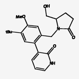 COc1cc(CN2C(=O)CCC2CO)c(-c2ccc[nH]c2=O)cc1C(C)(C)C